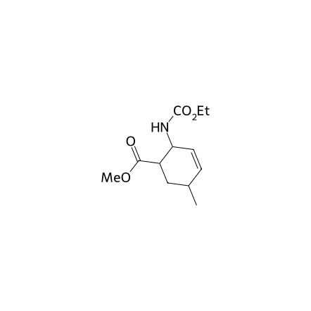 CCOC(=O)NC1C=CC(C)CC1C(=O)OC